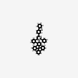 c1ccc(-c2nc(-c3ccc4c(c3)sc3ccccc34)cc(-c3ccccc3-c3cccc4c3-c3ccccc3C43c4ccccc4-c4ccccc43)n2)cc1